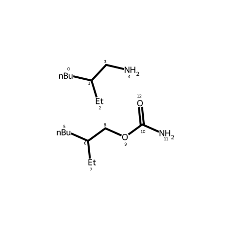 CCCCC(CC)CN.CCCCC(CC)COC(N)=O